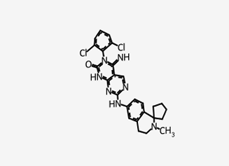 CN1CCc2cc(Nc3ncc4c(=N)n(-c5c(Cl)cccc5Cl)c(=O)[nH]c4n3)ccc2C12CCCC2